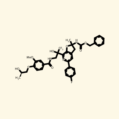 COc1cc(C(=O)NCC(O)(c2nc(-c3ccc(F)cc3)cc3c2OC(C)(NC(=O)OCc2ccccc2)C3)C(F)(F)F)ccc1OC[C@@H](C)O